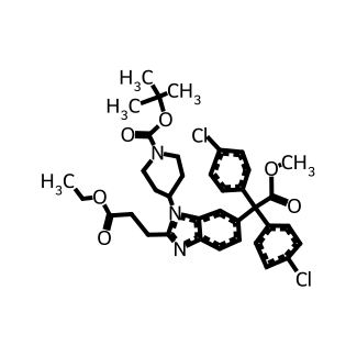 CCOC(=O)CCc1nc2ccc(C(C(=O)OC)(c3ccc(Cl)cc3)c3ccc(Cl)cc3)cc2n1C1CCN(C(=O)OC(C)(C)C)CC1